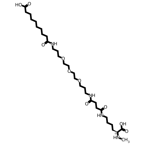 CN[C@@H](CCCCNC(=O)CCC(=O)NCCCOCCOCCOCCCNC(=O)CCCCCCCCC(=O)O)C(=O)O